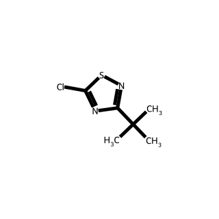 CC(C)(C)c1nsc(Cl)n1